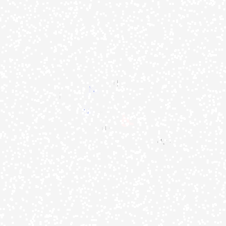 COCCOCc1c(C(C)(C)C)nc(C=O)nc1C(C)(C)C